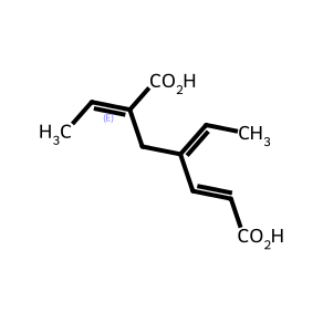 CC=C(C=CC(=O)O)C/C(=C\C)C(=O)O